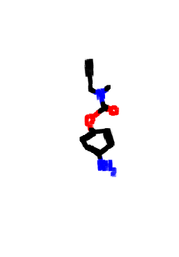 C#CCN(C)C(=O)Oc1ccc(N)cc1